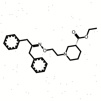 CCOC(=O)[C@@H]1CCCN(CCON=C(Cc2ccccc2)Cc2ccccc2)C1